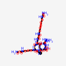 N=C(N)NCCC[C@@H]1NC(=O)[C@@H]2CSSC[C@H](NC(=O)[C@H](CC(=O)O)NC(=O)CNC1=O)C(=O)N[C@@H](Cc1ccccc1)C(=O)N[C@H](C(=O)NCCOCCOCCOCCNC(=O)COCC(N)=O)CSCC(=O)N[C@@H](CCCCNC(=O)COCC(=O)NCCOCCOCCOCCOCCOCCNC(=O)CON)C(=O)N2